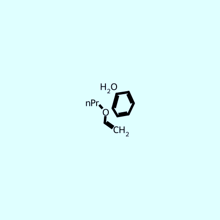 C=COCCC.O.c1ccccc1